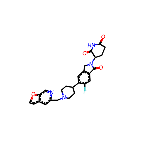 O=C1CCC(N2Cc3cc(C4CCN(Cc5cc6ccoc6cn5)CC4)c(F)cc3C2=O)C(=O)N1